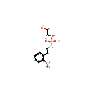 CCOc1ccccc1CCSP(=O)(O)OCCO